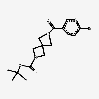 CC(C)(C)OC(=O)N1CC2(C1)CN(C(=O)c1ccc(Br)nc1)C2